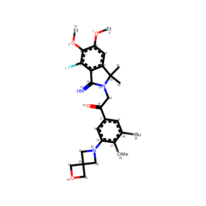 CCOc1cc2c(c(F)c1OCC)C(=N)N(CC(=O)c1cc(N3CC4(COC4)C3)c(OC)c(C(C)(C)C)c1)C2(C)C